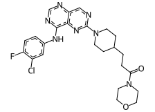 O=C(CCC1CCN(c2ncc3ncnc(Nc4ccc(F)c(Cl)c4)c3n2)CC1)N1CCOCC1